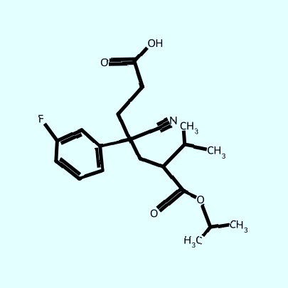 CC(C)OC(=O)C(CC(C#N)(CCC(=O)O)c1cccc(F)c1)C(C)C